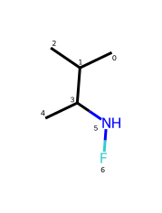 CC(C)C(C)NF